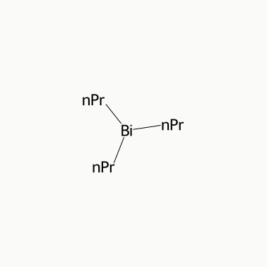 CC[CH2][Bi]([CH2]CC)[CH2]CC